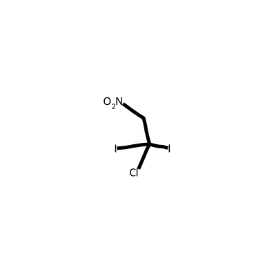 O=[N+]([O-])CC(Cl)(I)I